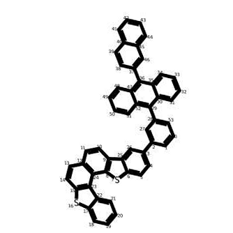 c1cc(-c2ccc3sc4c(ccc5ccc6sc7ccccc7c6c54)c3c2)cc(-c2c3ccccc3c(-c3ccc4ccccc4c3)c3ccccc23)c1